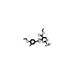 CCOC(=O)c1cnc([S+](C)[O-])nc1NCc1ccc(OCC)c(C)c1